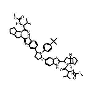 COC(=O)NC(C(=O)N1C(c2nc3cc([C@H]4CCC(c5ccc6[nH]c(C7CC8CCCC8N7C(=O)[C@@H](NC(=O)OC)C(C)C)nc6c5)N4c4ccc(C(C)(C)C)cc4)ccc3[nH]2)C[C@@H]2CCC[C@@H]21)C(C)C